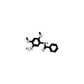 COc1cc(OC)c(NC(=O)c2ccccc2)cc1N